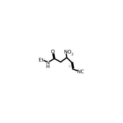 [C-]#[N+]/C=C/C(CC(=O)NCC)[N+](=O)[O-]